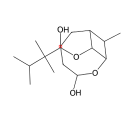 CC1C2CCCC(O)OC1C2OC(O)C(C)(C)C(C)C